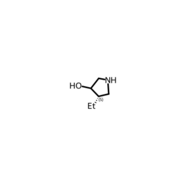 CC[C@H]1CNCC1O